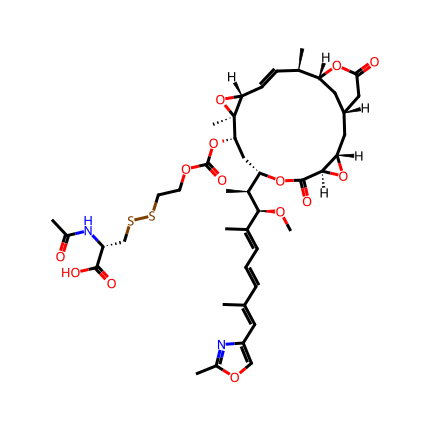 CO[C@@H](/C(C)=C/C=C/C(C)=C/c1coc(C)n1)[C@@H](C)[C@@H]1C[C@H](OC(=O)OCCSSC[C@@H](NC(C)=O)C(=O)O)[C@@]2(C)O[C@@H]2/C=C/[C@@H](C)[C@H]2C[C@H](CC(=O)O2)C[C@@H]2O[C@H]2C(=O)O1